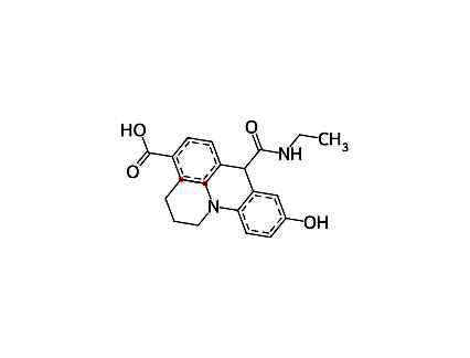 CCNC(=O)C(c1ccc(C(=O)O)cc1)c1cc(O)ccc1N1CCCCC1